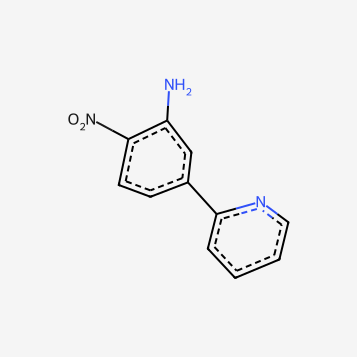 Nc1cc(-c2ccccn2)ccc1[N+](=O)[O-]